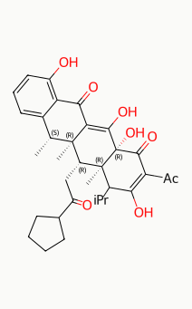 CC(=O)C1=C(O)C(C(C)C)[C@@]2(C)[C@H](CC(=O)C3CCCC3)[C@]3(C)C(=C(O)[C@@]2(O)C1=O)C(=O)c1c(O)cccc1[C@H]3C